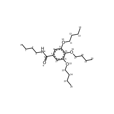 CCCCNC(=O)c1cc(OCCCC)c(OCCCC)c(OCCCC)c1